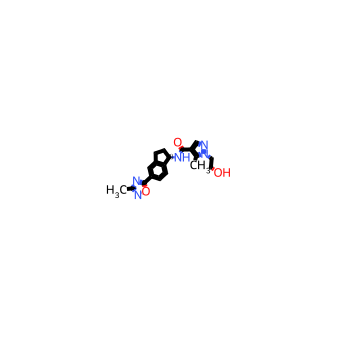 Cc1noc(-c2ccc3c(c2)CC[C@H]3NC(=O)c2cnn(CCO)c2C)n1